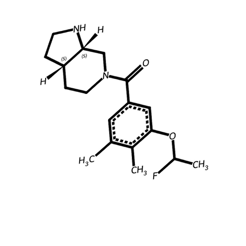 Cc1cc(C(=O)N2CC[C@@H]3CCN[C@@H]3C2)cc(OC(C)F)c1C